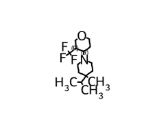 CC(C)C1(C)CCN([C@@H]2CCOC[C@@H]2C(F)(F)F)CC1